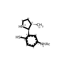 CC(=O)Nc1ccc(S)c([C@H]2NCC[C@@H]2C)c1